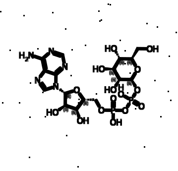 Nc1ncnc2c1ncn2[C@@H]1O[C@H](COP(=O)(O)OP(=O)(O)O[C@@H]2O[C@H](CO)[C@@H](O)[C@H](O)[C@@H]2O)[C@@H](O)[C@H]1O